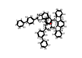 c1ccc(-c2ccc(-c3nc4cccc(-c5nc(-c6cccc(-c7ccccc7)c6)nc(-n6c7ccccc7c7ccc8c9ccccc9n(-c9ccccc9)c8c76)n5)c4o3)cc2)cc1